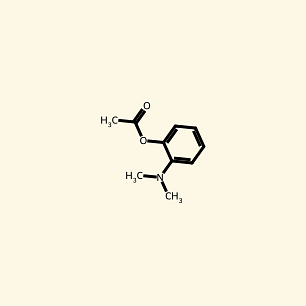 CC(=O)Oc1ccccc1N(C)C